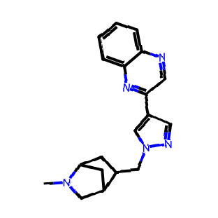 CN1CC2CC1CC2Cn1cc(-c2cnc3ccccc3n2)cn1